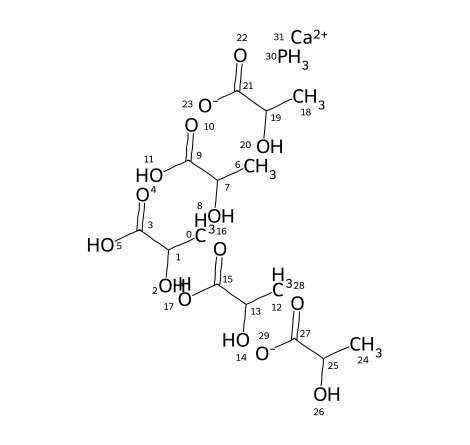 CC(O)C(=O)O.CC(O)C(=O)O.CC(O)C(=O)O.CC(O)C(=O)[O-].CC(O)C(=O)[O-].P.[Ca+2]